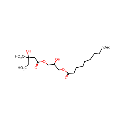 CCCCCCCCCCCCCCCCCC(=O)OCC(O)COC(=O)CC(O)(CC(=O)O)C(=O)O